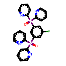 O=P(c1cc(F)cc(P(=O)(c2ccccn2)c2ccccn2)c1)(c1ccccn1)c1ccccn1